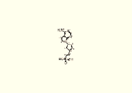 Nc1ncnc2c1ncn2[C@H]1C=C[C@@H](OCP(=O)(O)O)C1